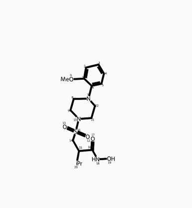 COc1ccccc1N1CCN(S(=O)(=O)CC(C(=O)NO)C(C)C)CC1